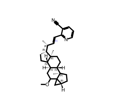 COC1C[C@H]2[C@@H]3CC[C@H]([C@H](C)/C=C/c4ncccc4C#N)[C@@]3(C)CC[C@@H]2[C@@]2(C)CC[C@@H]3CC132